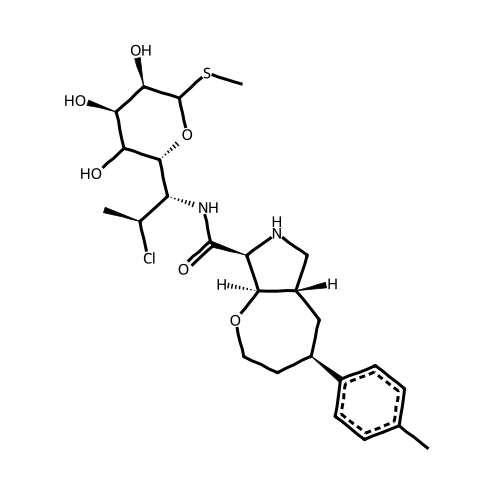 CSC1O[C@H]([C@H](NC(=O)[C@H]2NC[C@@H]3C[C@@H](c4ccc(C)cc4)CCO[C@H]32)[C@H](C)Cl)C(O)[C@@H](O)[C@H]1O